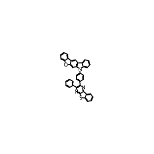 c1ccc(-c2nc3sc4ccccc4c3nc2-c2ccc(-n3c4ccccc4c4cc5c(cc43)oc3ccccc35)cc2)cc1